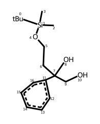 CC(C)(C)[Si](C)(C)OCCC(O)(CO)c1ccccc1